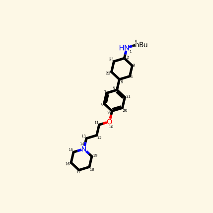 CCCCNC1CCC(c2ccc(OCCCN3CCCCC3)cc2)CC1